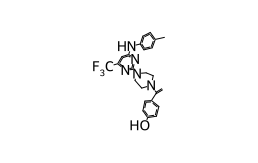 C=C(c1ccc(O)cc1)N1CCN(c2nc(Nc3ccc(C)cc3)cc(C(F)(F)F)n2)CC1